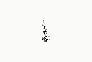 C=C(C)C(=O)NCOCCCCCCC